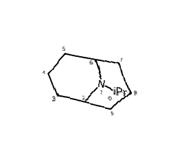 CC(C)N1C2CCCC1CCC2